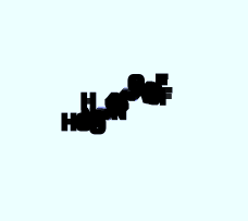 O=C(/C=C/c1ccc(/C=C/C(=O)c2ccc(F)c(F)c2)cn1)NO